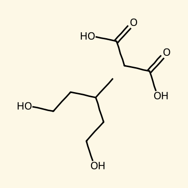 CC(CCO)CCO.O=C(O)CC(=O)O